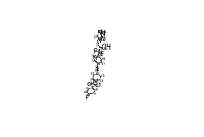 O=S(=O)(c1ccc(F)cc1)N1CCC(C#Cc2ccc(C(F)(F)C(O)Cn3cnnn3)nc2)CC1